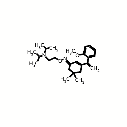 C=C(C1=C/C(=N/OCCN(C(C)C)C(C)C)CC(C)(C)C1)c1ccccc1OC